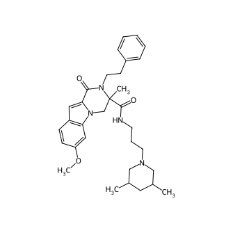 COc1ccc2cc3n(c2c1)CC(C)(C(=O)NCCCN1CC(C)CC(C)C1)N(CCc1ccccc1)C3=O